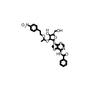 CC(OCCc1ccc([N+](=O)[O-])cc1)OC1C(O)[C@@H](CO)O[C@H]1n1cnc2c(NC(=O)c3ccccc3)ncnc21